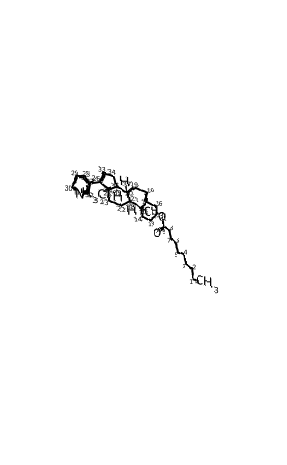 CCCCCCCCCC(=O)O[C@H]1CC[C@@]2(C)C(=CC[C@@H]3[C@@H]2CC[C@]2(C)C(c4cccnc4)=CC[C@@H]32)C1